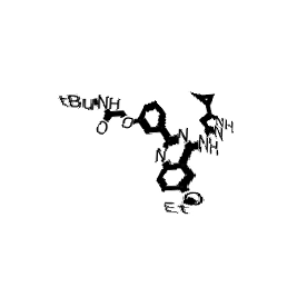 CCOc1ccc2nc(-c3cccc(OCC(=O)NC(C)(C)C)c3)nc(Nc3cc(C4CC4)[nH]n3)c2c1